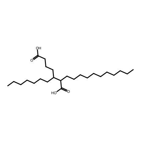 CCCCCCCCCCCC(C(=O)O)C(CCCCCCC)CCCC(=O)O